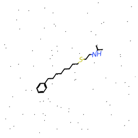 CC(C)NCCSCCCCCCCCc1ccccc1